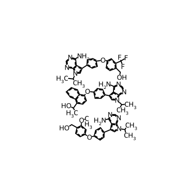 CC(C)n1cc(-c2ccc(Oc3ccc(CO)c(C(F)(F)F)c3)cc2)c2c(N)ncnc21.CC(O)c1ccc(Oc2ccc(-c3cn(C(C)C)c4ncnc(N)c34)cc2)c2ccccc12.COc1cc(Oc2ccc(-c3cn(C(C)C)c4ncnc(N)c34)cc2)ccc1CO